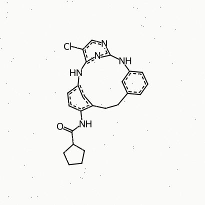 O=C(Nc1ccc2cc1CCc1cccc(c1)Nc1ncc(Cl)c(n1)N2)C1CCCC1